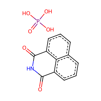 O=C1NC(=O)c2cccc3cccc1c23.O=P(O)(O)O